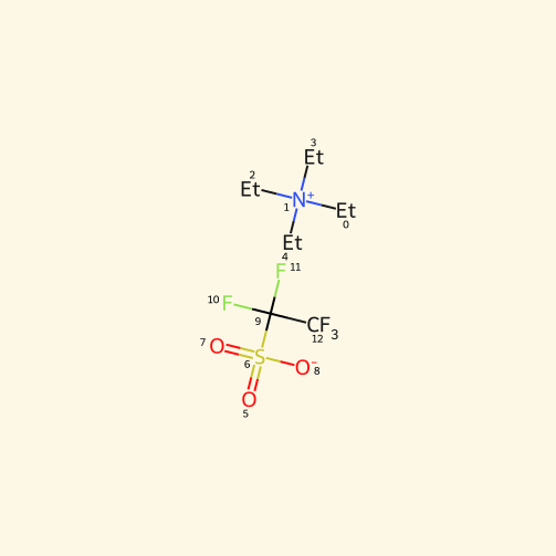 CC[N+](CC)(CC)CC.O=S(=O)([O-])C(F)(F)C(F)(F)F